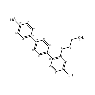 CCCCc1cc(O)ccc1-c1ccc(-c2ccc(O)cc2)cc1